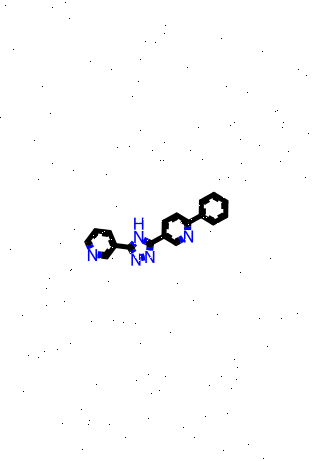 c1ccc(-c2ccc(-c3nnc(-c4cccnc4)[nH]3)cn2)cc1